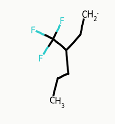 [CH2]CC(CCC)C(F)(F)F